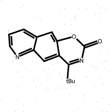 CC(C)(C)c1nc(=O)oc2cc3cccnc3cc12